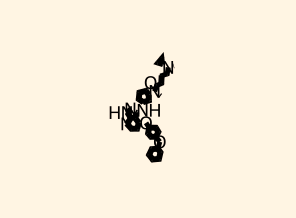 CN(C(=O)/C=C/CN(C)C1CC1)c1cccc(Nc2n[nH]c3nccc(Oc4ccc(Oc5ccccc5)cc4)c23)c1